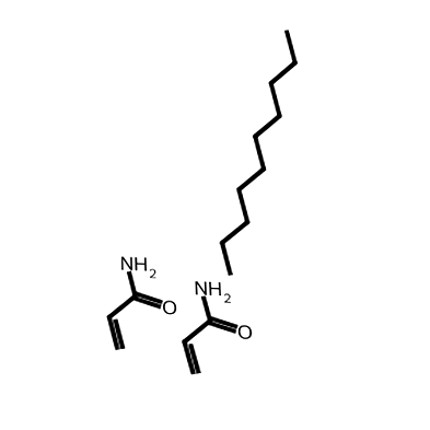 C=CC(N)=O.C=CC(N)=O.CCCCCCCCCC